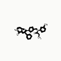 CCC(=O)N(Cc1ccc(-c2nc3cc[nH]c(=O)c3cc2-c2ccccc2)cc1)c1cccc(O)c1